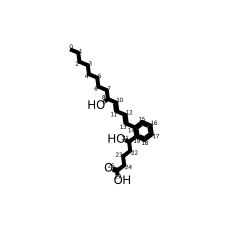 CCCCCCCCC(O)/C=C/C=C/c1ccccc1C(O)CCCC(=O)O